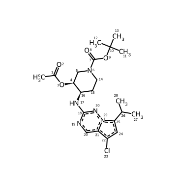 CC(=O)O[C@H]1CN(C(=O)OC(C)(C)C)CC[C@H]1Nc1ncc2c(Cl)cc(C(C)C)n2n1